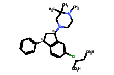 CN1CCN([C@@H]2C[C@@H](c3ccccc3)c3ccc(Cl)cc32)CC1(C)C.O=C(O)CCC(=O)O